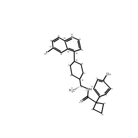 C[C@@H](NC(=O)C1(c2ccc(Cl)cc2)CCC1)C1CCC(c2ccnc3ccc(F)cc23)CC1